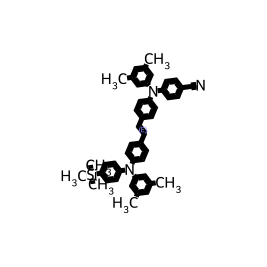 Cc1cc(C)cc(N(c2ccc(C#N)cc2)c2ccc(/C=C/c3ccc(N(c4ccc([Si](C)(C)C)cc4)c4cc(C)cc(C)c4)cc3)cc2)c1